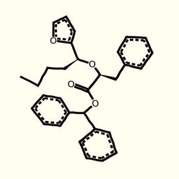 CCCC[C@H](O[C@@H](Cc1ccccc1)C(=O)OC(c1ccccc1)c1ccccc1)c1ccco1